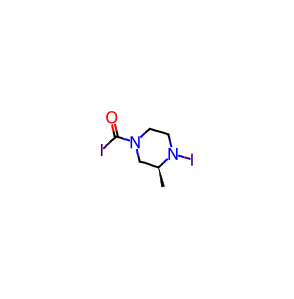 C[C@H]1CN(C(=O)I)CCN1I